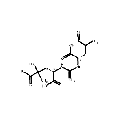 C=C(N[C@@H](CC(C)C=O)C(=O)O)N[C@@H](CC(C)(C)C(=O)O)C(=O)O